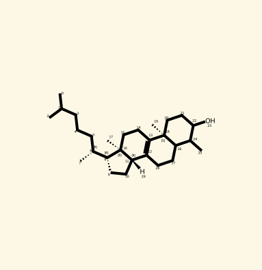 CC(C)CCC[C@@H](C)[C@H]1CC[C@H]2C3=C(CC[C@]12C)[C@@]1(C)CCC(O)C(C)C1CC3